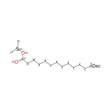 CCCCCCCCCCCCCCCCCCCCCC(=O)O[Si](C)C